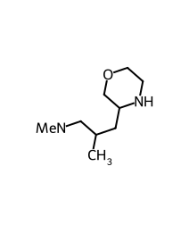 CNCC(C)CC1COCCN1